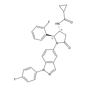 O=C(N[C@@H]1CC(=O)N(c2ccc3c(cnn3-c3ccc(F)cc3)c2)[C@H]1c1ccccc1F)C1CC1